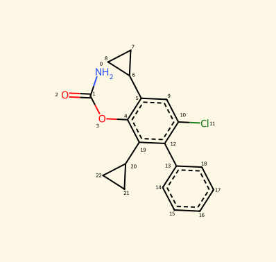 NC(=O)Oc1c(C2CC2)cc(Cl)c(-c2ccccc2)c1C1CC1